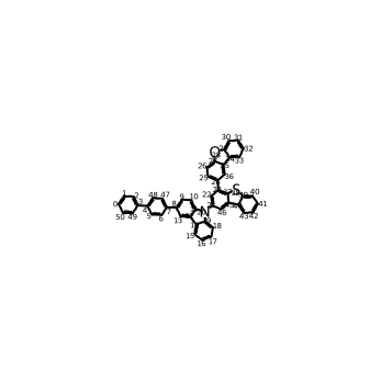 c1ccc(-c2ccc(-c3ccc4c(c3)c3ccccc3n4-c3cc(-c4ccc5oc6ccccc6c5c4)c4sc5ccccc5c4c3)cc2)cc1